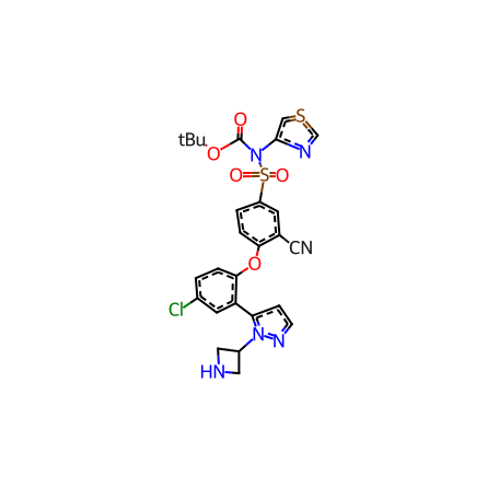 CC(C)(C)OC(=O)N(c1cscn1)S(=O)(=O)c1ccc(Oc2ccc(Cl)cc2-c2ccnn2C2CNC2)c(C#N)c1